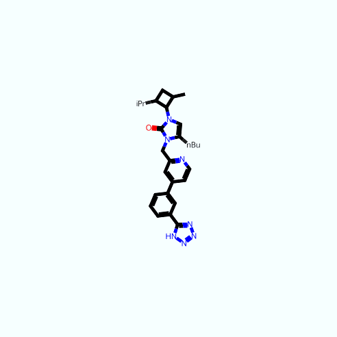 CCCCc1cn(C2C(C)CC2C(C)C)c(=O)n1Cc1cc(-c2cccc(-c3nnn[nH]3)c2)ccn1